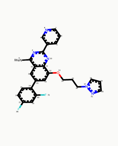 CNc1nc(-c2cccnc2)nc2c(OCCCn3cccn3)cc(-c3ccc(F)cc3F)cc12